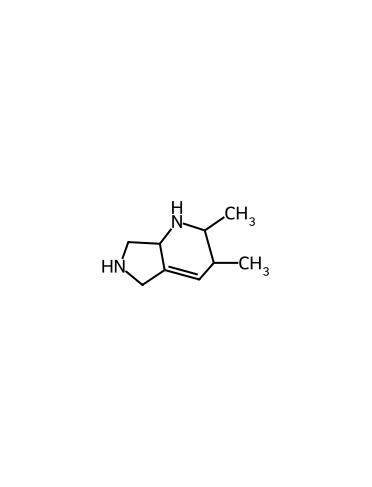 CC1C=C2CNCC2NC1C